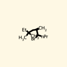 C=C(CC(C)(C)CC)C(Br)CCC